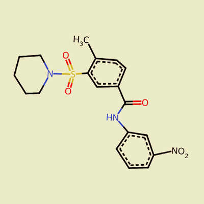 Cc1ccc(C(=O)Nc2cccc([N+](=O)[O-])c2)cc1S(=O)(=O)N1CCCCC1